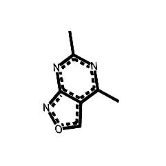 Cc1nc(C)c2conc2n1